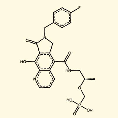 C[C@H](CNC(=O)c1c2c(c(O)c3ncccc13)C(=O)N(Cc1ccc(F)cc1)C2)OCP(=O)(O)O